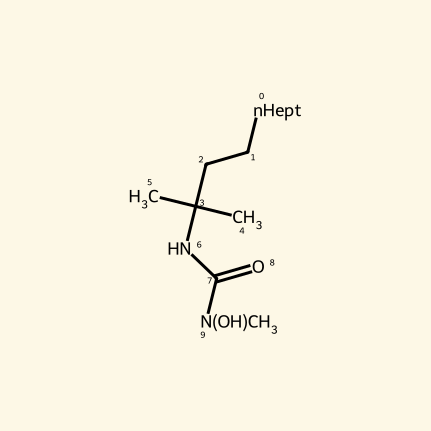 CCCCCCCCCC(C)(C)NC(=O)N(C)O